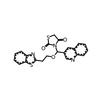 O=C1CSC(=O)N1C(OCCc1nc2ccccc2s1)c1cnc2ccccc2c1